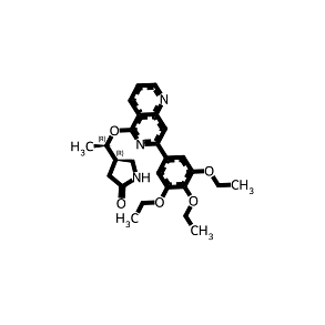 CCOc1cc(-c2cc3ncccc3c(O[C@H](C)[C@H]3CNC(=O)C3)n2)cc(OCC)c1OCC